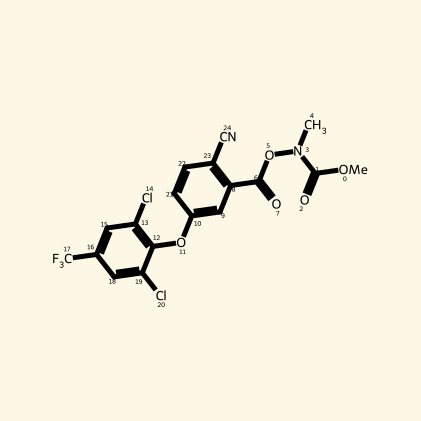 COC(=O)N(C)OC(=O)c1cc(Oc2c(Cl)cc(C(F)(F)F)cc2Cl)ccc1C#N